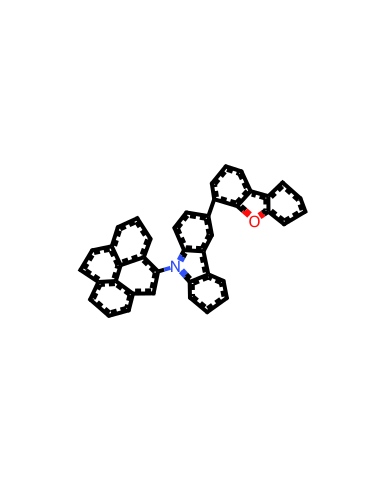 c1cc2ccc3cccc4c(-n5c6ccccc6c6cc(-c7cccc8c7oc7ccccc78)ccc65)cc(c1)c2c34